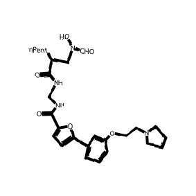 CCCCCC(CN(O)C=O)C(=O)NCNC(=O)c1ccc(-c2cccc(OCCN3CCCC3)c2)o1